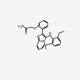 CCc1cccc(CC)c1Nc1c(-c2ccccc2OCC(N)=O)nc2ccccn12